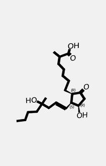 CCCCC(C)(O)CC=C[C@@H]1[C@H](O)CC(=O)[C@@H]1CCCCCC(C)C(=O)O